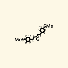 CSc1ccc(C=CC(=O)C=Cc2ccc(SC)cc2)cc1